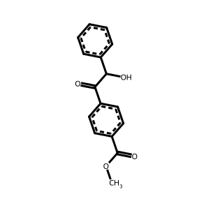 COC(=O)c1ccc(C(=O)C(O)c2ccccc2)cc1